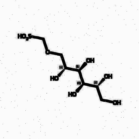 O=S(=O)(O)COC[C@@H](O)[C@@H](O)[C@H](O)[C@H](O)CO